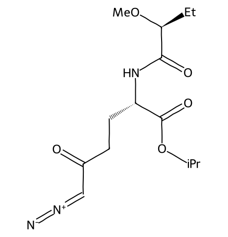 CC[C@H](OC)C(=O)N[C@@H](CCC(=O)C=[N+]=[N-])C(=O)OC(C)C